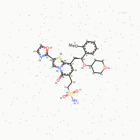 COc1ccccc1[C@H](Cc1cc(CCS(N)(=O)=O)c(=O)n2cc(-c3ncco3)sc12)OC1CCOCC1